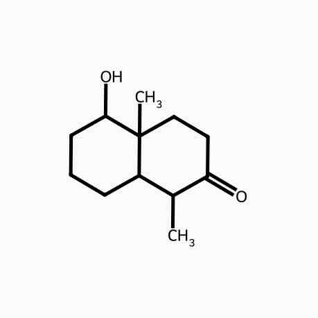 CC1C(=O)CCC2(C)C(O)CCCC12